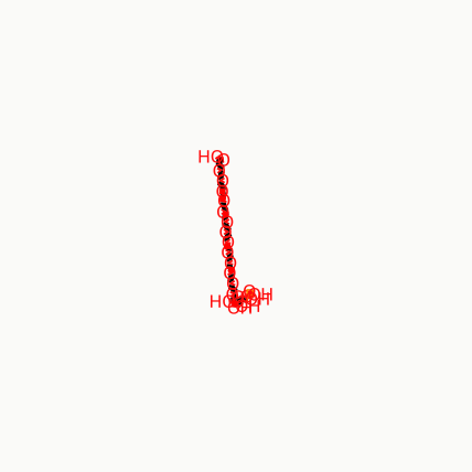 O=C(O)CCOCCOCCOCCOCCOCCOCCOCCOCCOCCOCCOCCOCCOC1OC(COP(=O)(O)O)C(O)C(O)C1O